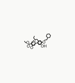 CCOC(=O)c1cn2c(cc1=O)-c1cc(O)c(OCCC3CCCCC3)cc1CC2CC